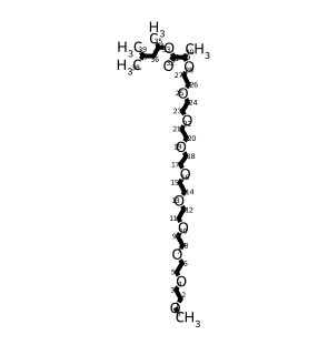 COCCOCCOCCOCCOCCOCCOCCOCCOCCOC(C)C(=O)OC(C)CC(C)C